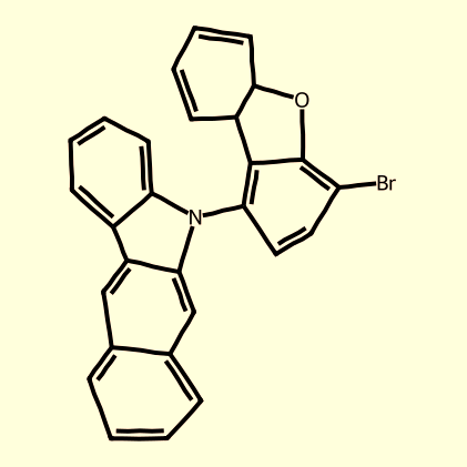 Brc1ccc(-n2c3ccccc3c3cc4ccccc4cc32)c2c1OC1C=CC=CC21